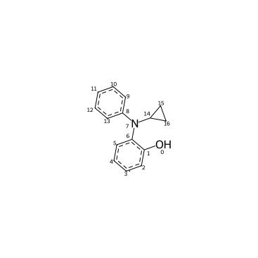 Oc1c[c]ccc1N(c1ccccc1)C1CC1